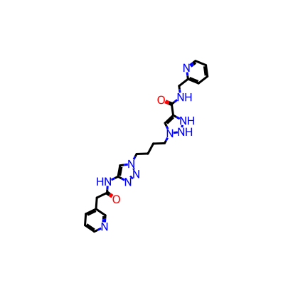 O=C(Cc1cccnc1)Nc1cn(CCCCN2C=C(C(=O)NCc3ccccn3)NN2)nn1